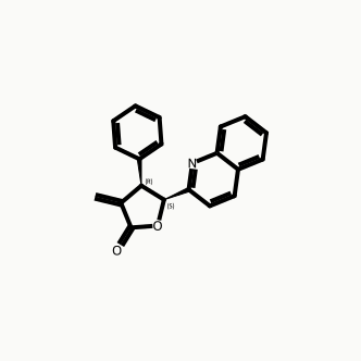 C=C1C(=O)O[C@H](c2ccc3ccccc3n2)[C@@H]1c1ccccc1